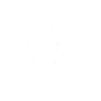 CC(C)(C)c1nc(C2(O)CSC2=O)c2nnn(Cc3ccccc3Cl)c2n1